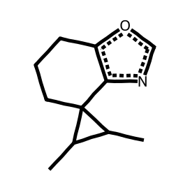 CC1C(C)C12CCCc1ocnc12